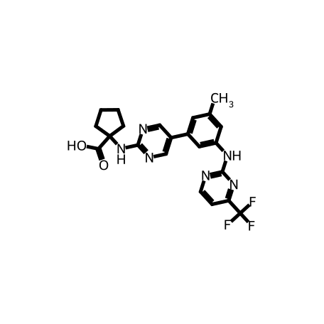 Cc1cc(Nc2nccc(C(F)(F)F)n2)cc(-c2cnc(NC3(C(=O)O)CCCC3)nc2)c1